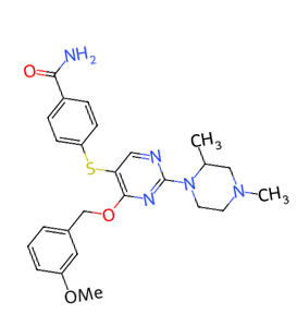 COc1cccc(COc2nc(N3CCN(C)CC3C)ncc2Sc2ccc(C(N)=O)cc2)c1